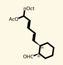 CCCCCCCCC(C=CC=C[C@H]1CCCC[C@H]1C=O)OC(C)=O